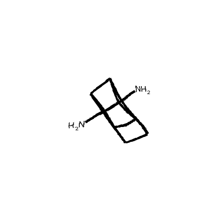 NC12C3C4C5C3C1(N)C5C42